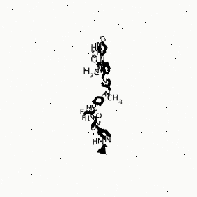 CN(CC1CCN(Cc2cccc3c2n(C)c(=O)n3C2CCC(=O)NC2=O)CC1)C[C@H]1CC[C@H](n2cc(NC(=O)c3coc(-c4ccnc(NCC5CC5)c4)n3)c(C(F)F)n2)CC1